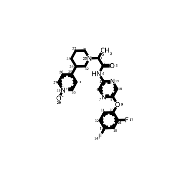 CC(C(=O)Nc1cnc(Oc2ccc(F)cc2F)cn1)N1CCCC(c2cc[n+]([O-])cc2)C1